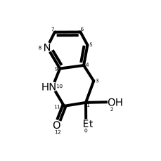 CCC1(O)Cc2cccnc2NC1=O